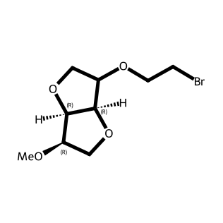 CO[C@@H]1CO[C@@H]2C(OCCBr)CO[C@@H]21